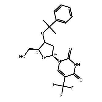 CC(C)(OC1C[C@@H](n2cc(C(F)(F)F)c(=O)[nH]c2=O)O[C@H]1CO)c1ccccc1